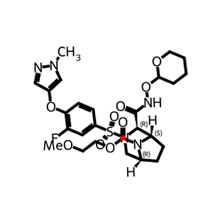 COCCOC(=O)N1[C@@H]2CC[C@H]1[C@H](C(=O)NOC1CCCCO1)N(S(=O)(=O)c1ccc(Oc3cnn(C)c3)c(F)c1)C2